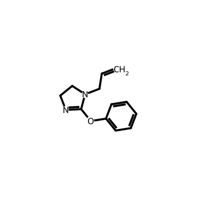 C=CCN1CCN=C1Oc1ccccc1